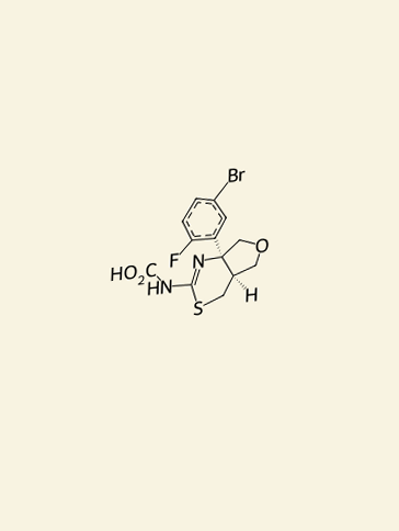 O=C(O)NC1=N[C@@]2(c3cc(Br)ccc3F)COC[C@H]2CS1